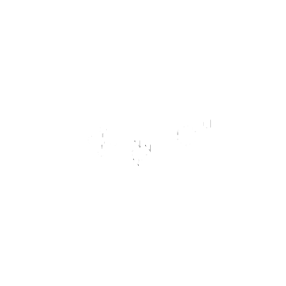 CS(=O)(=O)OCc1ncn(CCc2ccc(Cl)cc2)n1